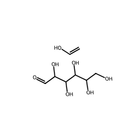 C=CO.O=CC(O)C(O)C(O)C(O)CO